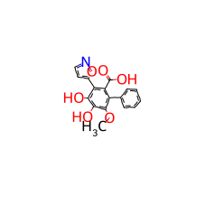 COc1c(O)c(O)c(-c2ccno2)c(C(=O)O)c1-c1ccccc1